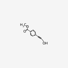 COC(=O)c1ccc(C#CCO)cc1